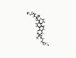 CCCCCC1(C#N)CCC2C(CCC3C2CCC2C(OC(=O)CCC)CCCC23)C1